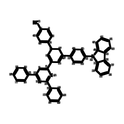 N#Cc1ccc(C2C=C(c3cc(-c4ccccc4)nc(-c4ccccc4)n3)C=C(c3ccc(-n4c5ccccc5c5ccccc54)cc3)C2)cc1